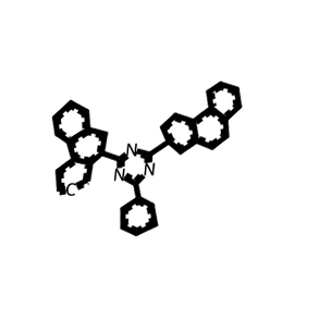 c1ccc(-c2nc(-c3ccc4c(ccc5ccccc54)c3)nc(-c3cc4ccccc4c4ccccc34)n2)cc1